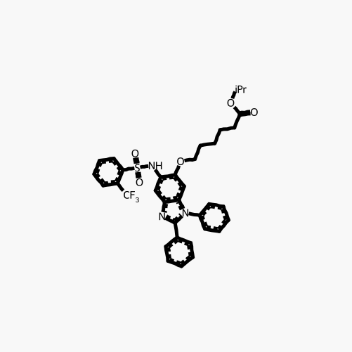 CC(C)OC(=O)CCCCCOc1cc2c(cc1NS(=O)(=O)c1ccccc1C(F)(F)F)nc(-c1ccccc1)n2-c1ccccc1